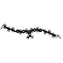 C=CC(=O)OCCOC(=O)CCC(=O)OCCc1ccc(OC(=O)C2CCC(C(=O)Oc3ccc(OC(=O)C4CCC(C(=O)Oc5ccc(CCOC(=O)CCC(=O)OCCOC(C)=O)cc5)CC4)c4c3SC(=C(C#N)C#N)S4)CC2)cc1